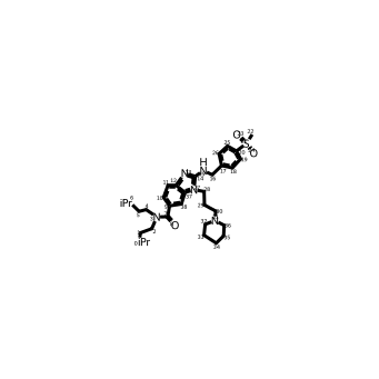 CC(C)CCN(CCC(C)C)C(=O)c1ccc2nc(NCc3ccc(S(C)(=O)=O)cc3)n(CCCN3CCCCC3)c2c1